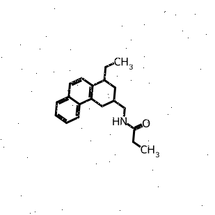 CCC(=O)NCC1Cc2c(ccc3ccccc23)C(CC)C1